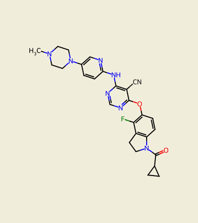 CN1CCN(c2ccc(Nc3ncnc(Oc4ccc5c(c4F)CCN5C(=O)C4CC4)c3C#N)nc2)CC1